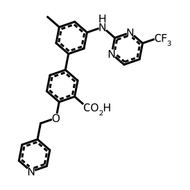 Cc1cc(Nc2nccc(C(F)(F)F)n2)cc(-c2ccc(OCc3ccncc3)c(C(=O)O)c2)c1